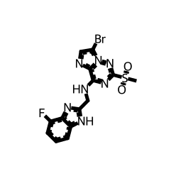 CS(=O)(=O)c1nc(NCc2nc3c(F)cccc3[nH]2)c2ncc(Br)n2n1